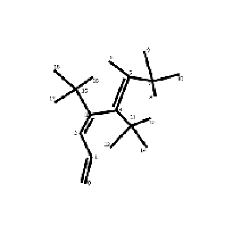 C=C/C=C(\C(=C(/C)C(C)(C)C)C(C)(C)C)C(C)(C)C